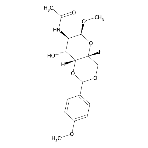 COc1ccc(C2OC[C@H]3O[C@H](OC)[C@H](NC(C)=O)[C@@H](O)[C@H]3O2)cc1